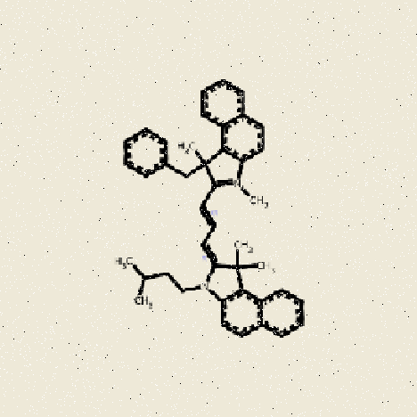 CC(C)CCN1/C(=C/C=C/C2=[N+](C)c3ccc4ccccc4c3C2(C)Cc2ccccc2)C(C)(C)c2c1ccc1ccccc21